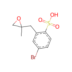 CC1(Cc2cc(Br)ccc2S(=O)(=O)O)CO1